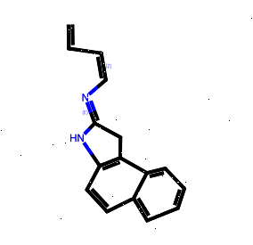 C=C/C=C\N=C1/Cc2c(ccc3ccccc23)N1